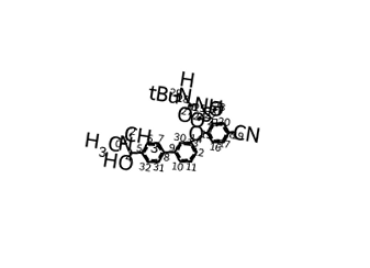 CN(C)C(O)c1ccc(-c2cccc(Oc3ccc(C#N)cc3S(=O)(=O)NC(=O)NC(C)(C)C)c2)cc1